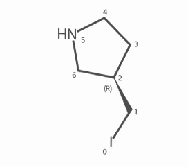 IC[C@@H]1CCNC1